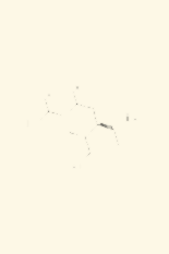 CCC(O)OC(O)C/C(=C(/C)[C@@H](C)CC)[C@H](C)[C@H](C)[C@H](C)CC